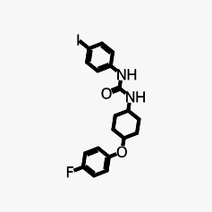 O=C(Nc1ccc(I)cc1)NC1CCC(Oc2ccc(F)cc2)CC1